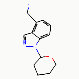 NCc1cccc2c1cnn2C1CCCCO1